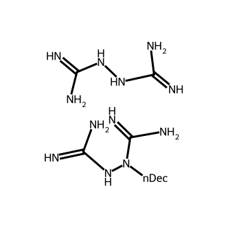 CCCCCCCCCCN(NC(=N)N)C(=N)N.N=C(N)NNC(=N)N